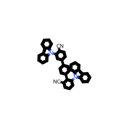 N#Cc1ccc(-c2ccc(-c3c(C#N)cccc3-n3c4ccccc4c4ccccc43)cc2)cc1-n1c2ccccc2c2ccccc21